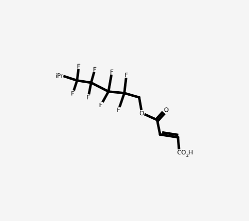 CC(C)C(F)(F)C(F)(F)C(F)(F)C(F)(F)COC(=O)C=CC(=O)O